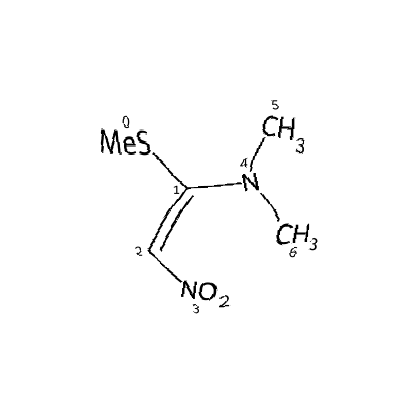 CS/C(=C/[N+](=O)[O-])N(C)C